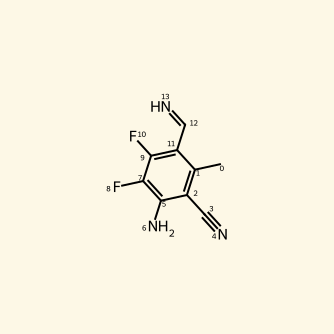 Cc1c(C#N)c(N)c(F)c(F)c1C=N